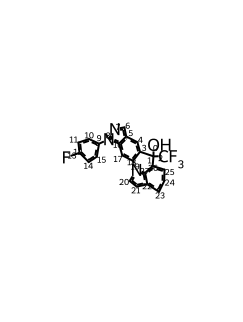 OC1(C(F)(F)F)c2cc3cnn(-c4ccc(F)cc4)c3cc2-n2ccc3cccc1c32